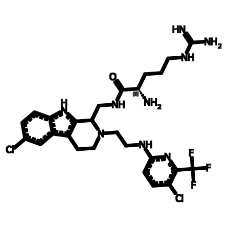 N=C(N)NCCC[C@H](N)C(=O)NCC1c2[nH]c3ccc(Cl)cc3c2CCN1CCNc1ccc(Cl)c(C(F)(F)F)n1